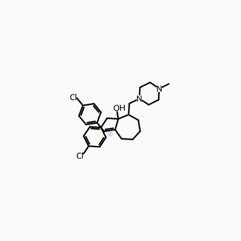 CN1CCN(CC2CCCC/C(=C/c3ccc(Cl)cc3)C2(O)Cc2ccc(Cl)cc2)CC1